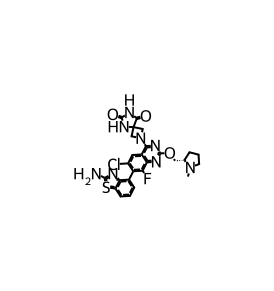 CN1CCC[C@H]1COc1nc(N2CC3(C2)NC(=O)NC3=O)c2cc(Cl)c(-c3cccc4sc(N)nc34)c(F)c2n1